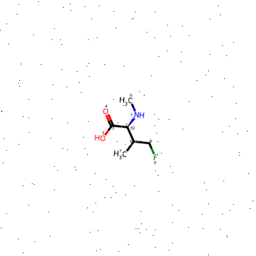 CN[C@H](C(=O)O)C(C)CF